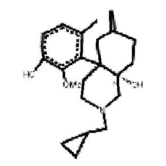 C=C1CC[C@@]2(O)CN(CC3CC3)CCC2(c2c(C)ccc(O)c2OC)C1